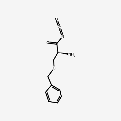 N[C@@H](COCc1ccccc1)C(=O)N=C=O